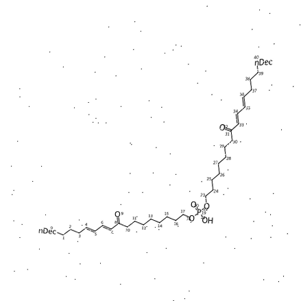 CCCCCCCCCCCCC/C=C/C=C/C(=O)CCCCCCCCOP(=O)(O)OCCCCCCCCC(=O)/C=C/C=C/CCCCCCCCCCCCC